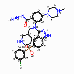 CN1CCN(c2ccc(C(=O)N=[N+]=[N-])c(N(CC3CCCNC3)c3n[nH]c4ccc(S(=O)(=O)c5cccc(F)c5)cc34)c2)CC1